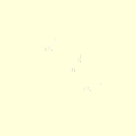 O=C(Nc1ccc(-c2nc3cc(C(=O)NC4CCCCC4)ccc3[nH]2)cc1)c1ccccc1